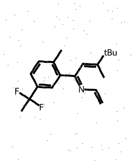 C=C/N=C(\C=C(/C)C(C)(C)C)c1cc(C(C)(F)F)ccc1C